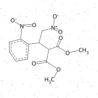 COC(=O)C(C(=O)OC)C(C[N+](=O)[O-])c1ccccc1[N+](=O)[O-]